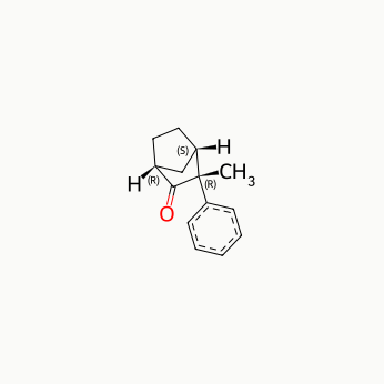 C[C@@]1(c2ccccc2)C(=O)[C@@H]2CC[C@H]1C2